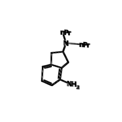 CCCN(CCC)C1Cc2cccc(N)c2C1